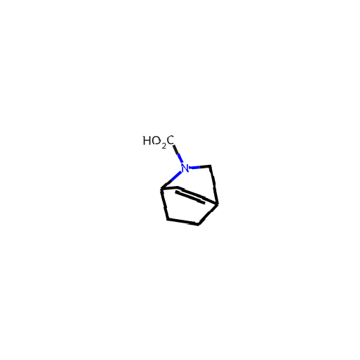 O=C(O)N1CC2C=CC1CC2